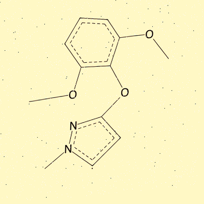 COc1cccc(OC)c1Oc1c[c]n(C)n1